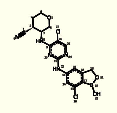 N#C[C@@H]1CCOC[C@H]1Nc1nc(Nc2cc(Cl)c3c(c2)COB3O)ncc1Cl